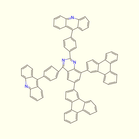 c1ccc2c(-c3ccc(-c4nc(-c5ccc(-c6c7ccccc7nc7ccccc67)cc5)c5cc(-c6ccc7c8ccccc8c8ccccc8c7c6)cc(-c6ccc7c8ccccc8c8ccccc8c7c6)c5n4)cc3)c3ccccc3nc2c1